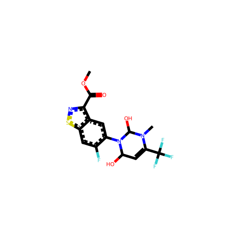 COC(=O)c1nsc2cc(F)c(N3C(O)C=C(C(F)(F)F)N(C)C3O)cc12